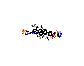 C=C(C)[C@@H]1CC[C@]2(NCCN3CCS(=O)(=O)CC3)CC[C@]3(C)C(CCC4[C@@]5(C)CC=C(C6=CC[C@](C#COc7ccncn7)(C(=O)O)CC6)C(C)(C)C5CC[C@]43C)C12